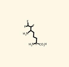 NC(CCC[C@H](N)C(=O)O)C(F)C(F)F